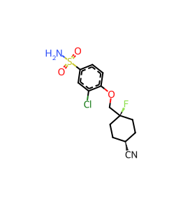 N#C[C@H]1CC[C@](F)(COc2ccc(S(N)(=O)=O)cc2Cl)CC1